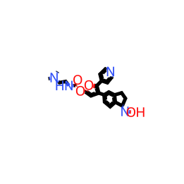 CN(C)CCNC(=O)Oc1cc(-c2ccc3c(c2)CCC3=NO)c(-c2ccncc2)o1